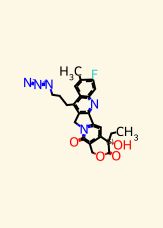 CC[C@@]1(O)C(=O)OCc2c1cc1n(c2=O)Cc2c-1nc1cc(F)c(C)cc1c2CCCN=[N+]=[N-]